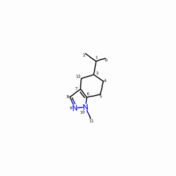 CC(C)C1CCc2c(cnn2C)C1